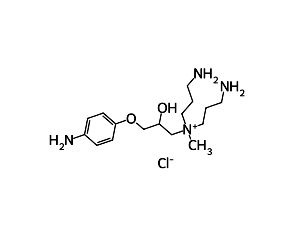 C[N+](CCCN)(CCCN)CC(O)COc1ccc(N)cc1.[Cl-]